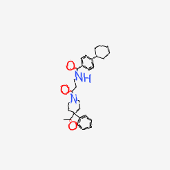 CC(=O)C1(c2ccccc2)CCN(C(=O)CCNC(=O)c2ccc(C3CCCCC3)cc2)CC1